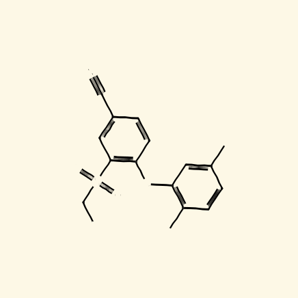 Cc1ccc(C)c(Sc2ccc(C#N)cc2S(=O)(=O)CI)c1